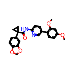 COc1ccc(-c2ccc(NC(=O)C3(c4ccc5c(c4)OCO5)CC3)nc2)c(OC)c1